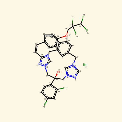 CC(=O)Oc1c(C)cc(C[n+]2cnn(C[C@@](O)(Cn3cnc(/C=C\c4ccc(OCC(F)(F)C(F)F)cc4)n3)c3ccc(F)cc3F)c2)cc1C.[Br-]